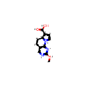 COc1ncc2c(n1)-n1ccc(C(=O)O)c1CC2